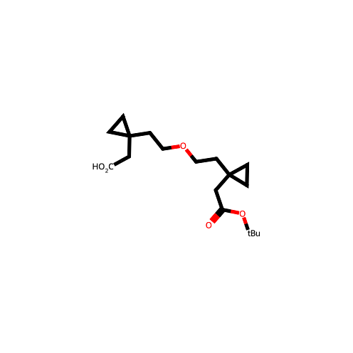 CC(C)(C)OC(=O)CC1(CCOCCC2(CC(=O)O)CC2)CC1